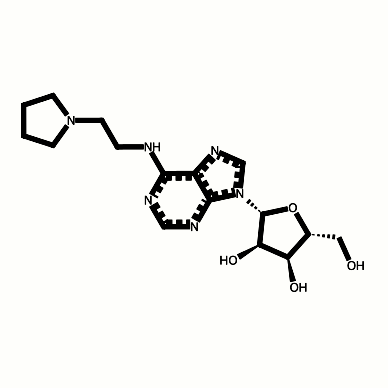 OC[C@H]1O[C@@H](n2cnc3c(NCCN4CCCC4)ncnc32)[C@H](O)[C@@H]1O